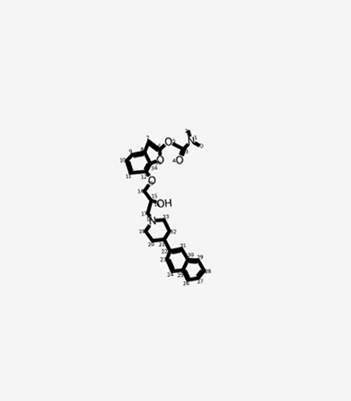 CN(C)C(=O)Oc1cc2cccc(OCC(O)CN3CCC(c4ccc5ccccc5c4)CC3)c2o1